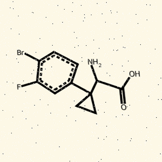 NC(C(=O)O)C1(c2ccc(Br)c(F)c2)CC1